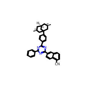 C[C@@H]1C[C@@H]2C[C@H](C)CC(c3ccc(-c4nc(-c5ccccc5)nc(-c5ccc6c(C#N)cccc6c5)n4)cc3)(C1)C2